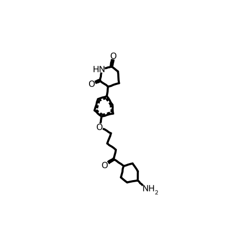 NC1CCC(C(=O)CCCOc2ccc(C3CCC(=O)NC3=O)cc2)CC1